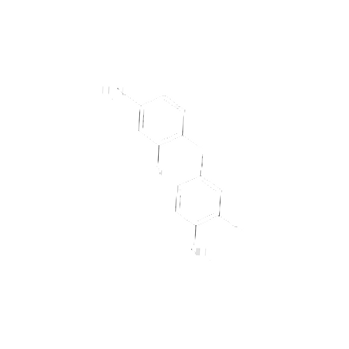 Nc1ccc(Sc2ccc(N)c(Br)c2)c(Br)c1